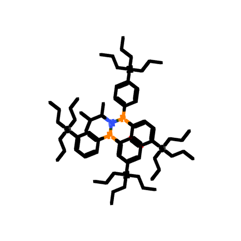 CCC[Si](CCC)(CCC)c1ccc(P(c2ccc([Si](CCC)(CCC)CCC)cc2)N(C(C)C(C)C)P(c2cccc([Si](CCC)(CCC)CCC)c2)c2cccc([Si](CCC)(CCC)CCC)c2)cc1